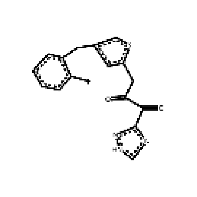 O=C(Cc1cc(Cc2ccccc2F)cs1)C(=O)c1nc[nH]n1